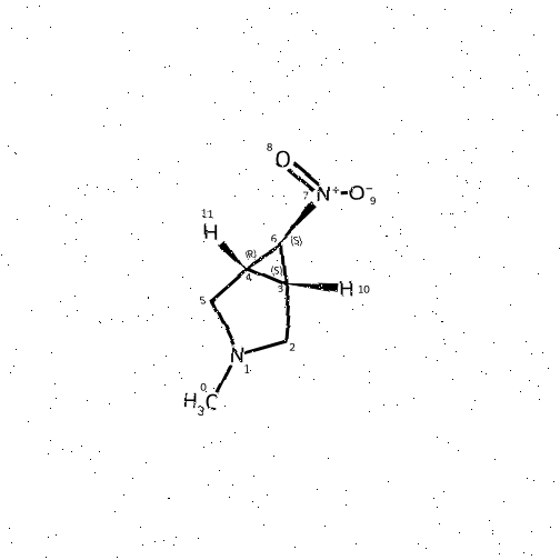 CN1C[C@@H]2[C@H](C1)[C@H]2[N+](=O)[O-]